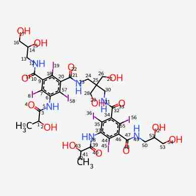 CC(O)C(=O)Nc1c(I)c(C(=O)NCC(O)CO)c(I)c(C(=O)NCC(CO)(CO)CNC(=O)c2c(I)c(NC(=O)C(C)O)c(I)c(C(=O)NCC(O)CO)c2I)c1I